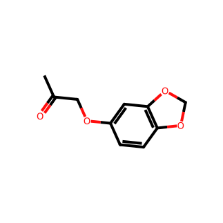 CC(=O)COc1ccc2c(c1)OCO2